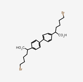 O=C(O)C(CCCCBr)c1ccc(-c2ccc(C(CCCCBr)C(=O)O)cc2)cc1